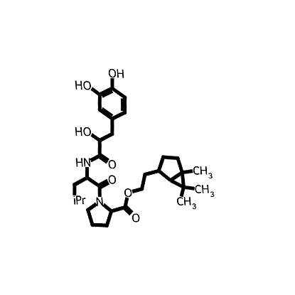 CC(C)CC(NC(=O)C(O)Cc1ccc(O)c(O)c1)C(=O)N1CCCC1C(=O)OCCC1CCC2(C)C1C2(C)C